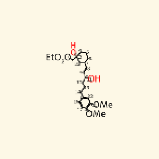 CCOC(=O)CC1(O)CCCC(C=CC(O)CCCc2ccc(OC)c(OC)c2)C1